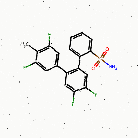 Cc1c(F)cc(-c2cc(F)c(F)cc2-c2ccccc2S(N)(=O)=O)cc1F